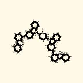 C1=CC(n2c3ccccc3c3cc(-c4cccc5c4oc4ccccc45)ccc32)NC=C1n1c2c(c3ccccc31)CC(c1cccc3c1oc1ccccc13)C=C2